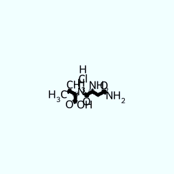 CC(C)[C@H](NC(=O)[C@H](N)CC(N)=O)C(=O)O.Cl